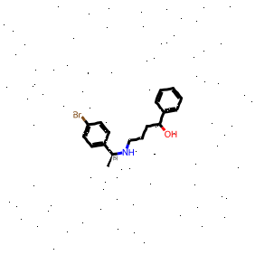 C[C@H](NCCCC(O)c1ccccc1)c1ccc(Br)cc1